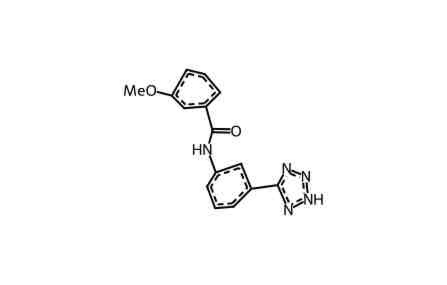 COc1cccc(C(=O)Nc2cccc(-c3nn[nH]n3)c2)c1